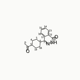 CC(=O)C1CCC(c2n[nH]c(=O)c3ccccc23)CC1